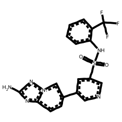 Nc1nc2ccc(-c3cncc(S(=O)(=O)Nc4ccccc4C(F)(F)F)c3)cn2n1